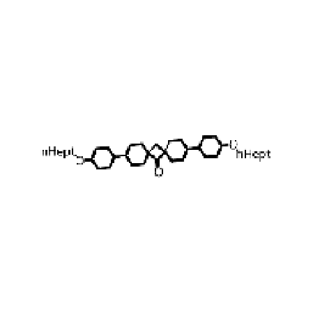 CCCCCCCOC1CCC(C2CC[C@]3(CC2)C[C@@]2(CC[C@H](C4CCC(OCCCCCCC)CC4)CC2)C3=O)CC1